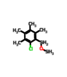 Cc1c(C)c(C)c([SiH2]O[SiH3])c(Cl)c1C